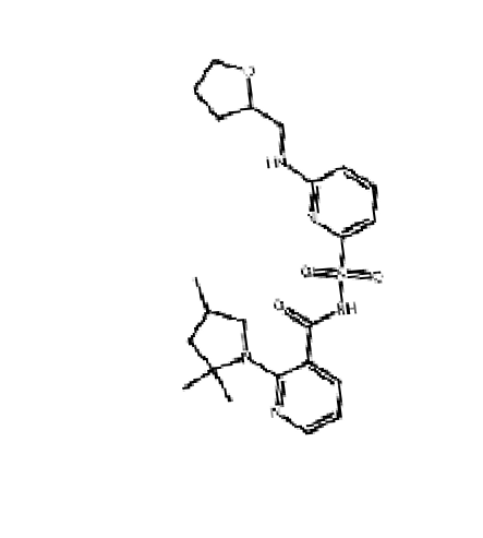 CC1CN(c2ncccc2C(=O)NS(=O)(=O)c2cccc(NCC3CCCO3)n2)C(C)(C)C1